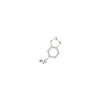 Cc1ccc2c(c1)CSS2